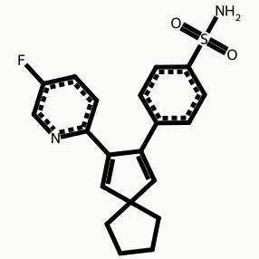 NS(=O)(=O)c1ccc(C2=CC3(C=C2c2ccc(F)cn2)CCCC3)cc1